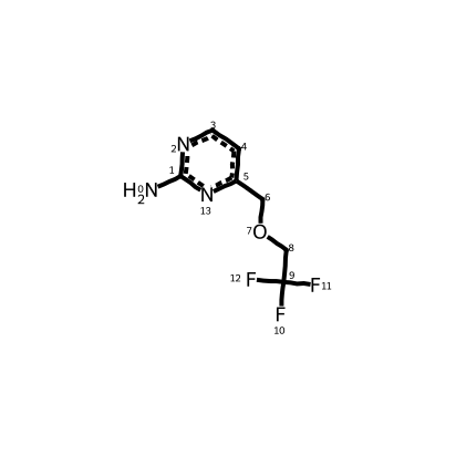 Nc1nccc(COCC(F)(F)F)n1